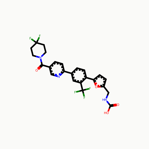 O=C(O)NCc1ccc(-c2ccc(-c3ccc(C(=O)N4CCC(F)(F)CC4)cn3)cc2C(F)(F)F)o1